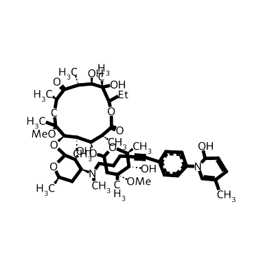 CCC1OC(=O)[C@H](C)[C@H](OC2C[C@@](C)(OC)[C@@H](O)[C@H](C)O2)[C@H](C)[C@@H](OC2O[C@H](C)C[C@H](N(C)CCCC#Cc3ccc(N4C=C(C)C=CC4O)cc3)[C@H]2O)[C@@](C)(OC)C[C@@H](C)C(=O)[C@H](C)[C@@H](O)[C@]1(C)O